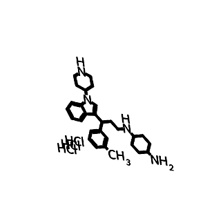 Cc1cccc(C(CCNC2CCC(N)CC2)c2cn(C3CCNCC3)c3ccccc23)c1.Cl.Cl.Cl